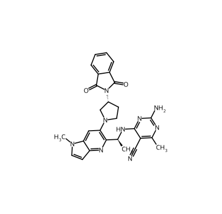 Cc1nc(N)nc(N[C@@H](C)c2nc3ccn(C)c3cc2N2CC[C@@H](N3C(=O)c4ccccc4C3=O)C2)c1C#N